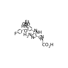 CCS(=O)(=O)Nc1ccc(-c2n[nH]c3c(-c4cnn(CCC(=O)O)c4)cnc(N)c23)cc1OCc1ccc(F)cc1